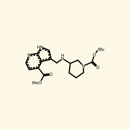 COC(=O)c1ccnc2[nH]cc(CNC3CCCN(C(=O)OC(C)(C)C)C3)c12